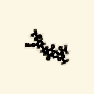 C=C(C)C(=O)OCCOC(=O)c1ccc(-c2ccc(OC(=O)C(=C)C)c(OC)c2)cc1C(=O)OCCOC(=O)C(=C)C